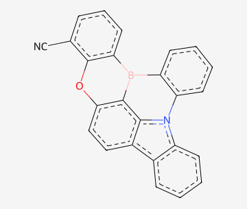 N#Cc1cccc2c1Oc1ccc3c4ccccc4n4c3c1B2c1ccccc1-4